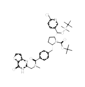 CN(Cc1nc2ccsc2c(=O)[nH]1)C(=O)c1ccc(C[C@@H]2CC[C@H](C(O[Si](C)(C)C(C)(C)C)c3ccc(Cl)nc3)N2C(=O)OC(C)(C)C)cc1